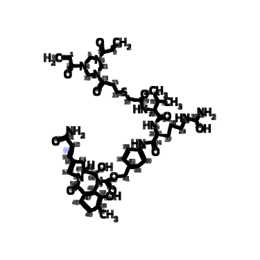 C=CC(=O)N1CN(C(=O)C=C)CN(C(=O)CCSCC(=O)N[C@H](C(=O)N[C@@H](CCCNC(N)O)C(=O)Nc2ccc(COC(=O)N3c4c(ccc(C)c4O)C(=O)N4C=C(/C=C/C(N)=O)C[C@H]4[C@@H]3O)cc2)C(C)C)C1